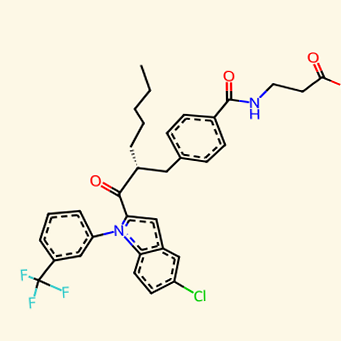 CCCCC[C@H](Cc1ccc(C(=O)NCCC(=O)O)cc1)C(=O)c1cc2cc(Cl)ccc2n1-c1cccc(C(F)(F)F)c1